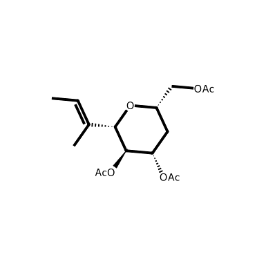 C/C=C(\C)[C@@H]1O[C@H](COC(C)=O)C[C@H](OC(C)=O)[C@H]1OC(C)=O